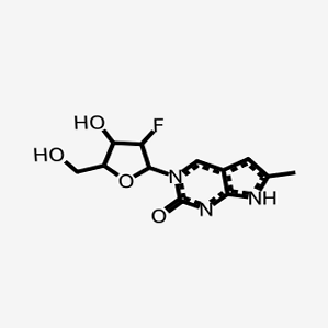 Cc1cc2cn(C3OC(CO)C(O)C3F)c(=O)nc2[nH]1